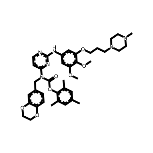 COc1cc(Nc2nccc(N(Cc3ccc4c(c3)OCCO4)C(=O)Oc3c(C)cc(C)cc3C)n2)cc(OCCCN2CCN(C)CC2)c1OC